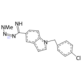 CN/N=N\C(=N)c1ccc2c(ccn2Cc2ccc(Cl)cc2)c1